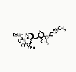 Cc1c(Cc2ccnc(N(C(=O)OC(C)(C)C)C(=O)OC(C)(C)C)c2F)cncc1OC1CC2(C1)CN(C)C2